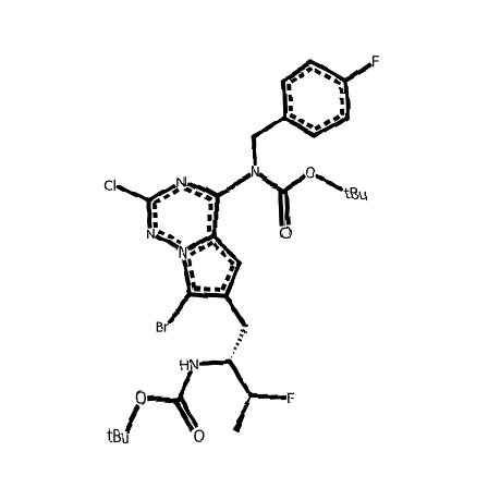 C[C@H](F)[C@@H](Cc1cc2c(N(Cc3ccc(F)cc3)C(=O)OC(C)(C)C)nc(Cl)nn2c1Br)NC(=O)OC(C)(C)C